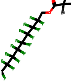 CCC(C)(C)C(=O)OCC(F)(F)C(F)(F)C(F)(F)C(F)(F)C(F)(F)C(F)(F)C(F)(F)CF